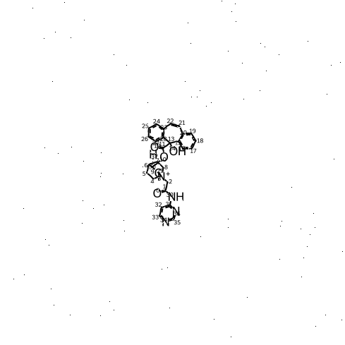 O=C(C[N+]12CCC(CC1)[C@@H](OC(=O)C1(O)c3ccccc3C=Cc3ccccc31)C2)Nc1ccncn1